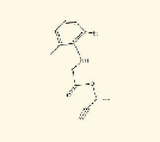 C#CC(C)OC(=O)CNc1c(C)cccc1CC